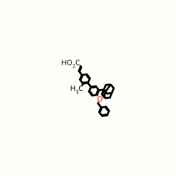 Cc1cc(C=CC(=O)O)ccc1-c1ccc(OCc2ccccc2)c(C23CC4CC(CC(C4)C2)C3)c1